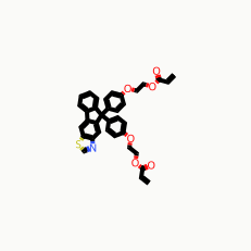 C=CC(=O)OCCOc1ccc(C2(c3ccc(OCCOC(=O)C=C)cc3)c3ccccc3-c3cc4scnc4cc32)cc1